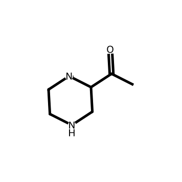 CC(=O)C1CNCC[N]1